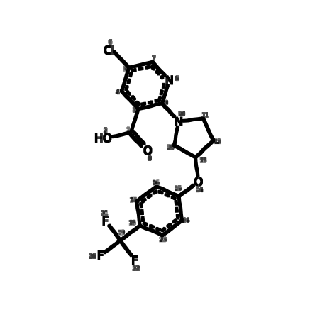 O=C(O)c1cc(Cl)cnc1N1CCC(Oc2ccc(C(F)(F)F)cc2)C1